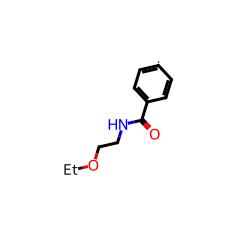 CCOCCNC(=O)c1cc[c]cc1